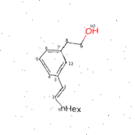 CCCCCCC=Cc1cccc(CCO)c1